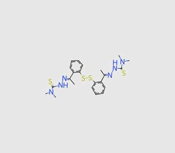 C/C(=N\NC(=S)N(C)C)c1ccccc1SSc1ccccc1/C(C)=N/NC(=S)N(C)C